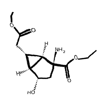 CCOC(=O)[C@]1(N)C[C@H](O)[C@H]2[C@H](CC(=O)OC)[C@H]21